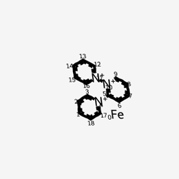 [Fe].c1cc[n+](-c2cccc[n+]2-[n+]2ccccc2)cc1